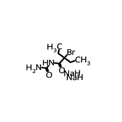 CCC(Br)(CC)C(=O)NC(N)=O.[NaH].[NaH]